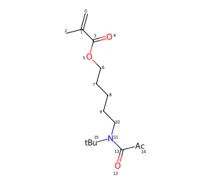 C=C(C)C(=O)OCCCCCN(C(=O)C(C)=O)C(C)(C)C